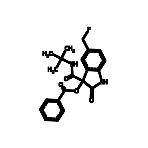 CC(C)(C)NC(=O)C1(OC(=O)c2ccccc2)C(=O)Nc2ccc(CF)cc21